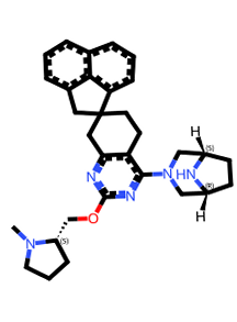 CN1CCC[C@H]1COc1nc2c(c(N3C[C@H]4CC[C@@H](C3)N4)n1)CCC1(C2)Cc2cccc3cccc1c23